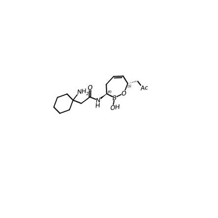 CC(=O)C[C@H]1C=CC[C@H](NC(=O)CC2(N)CCCCC2)B(O)O1